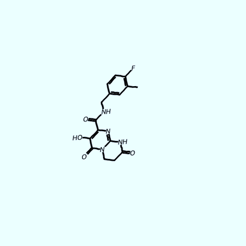 Cc1cc(CNC(=O)c2nc3n(c(=O)c2O)CCC(=O)N3)ccc1F